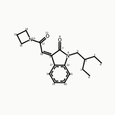 CCC(CC)CN1C(=O)C(=CC(=O)N2CCC2)c2ccccc21